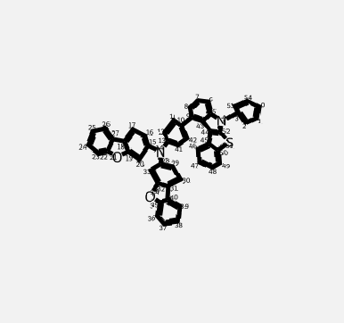 c1ccc(-n2c3cccc(-c4ccc(N(c5ccc6c(c5)oc5ccccc56)c5ccc6c(c5)oc5ccccc56)cc4)c3c3c4ccccc4sc32)cc1